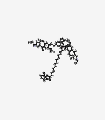 C/C=C1\C[C@H]2C=Nc3cc(OCc4cc5cc(COc6cc7c(cc6OC)C(=O)N6C/C(=C/C)C[C@H]6C=N7)c4C(COCCOCCOCCOCCC(=O)O[N+]4(O)C(=O)CCC4=O)N(C(C)=O)SC5(C)C)c(OC)cc3C(=O)N2C1